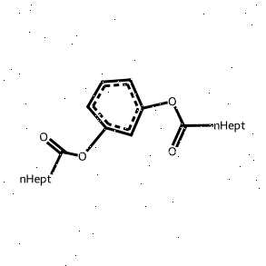 CCCCCCCC(=O)Oc1cccc(OC(=O)CCCCCCC)c1